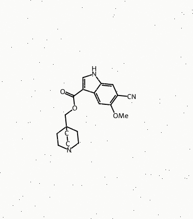 COc1cc2c(C(=O)OCC34CCN(CC3)CC4)c[nH]c2cc1C#N